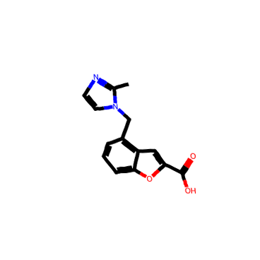 Cc1nccn1Cc1cccc2oc(C(=O)O)cc12